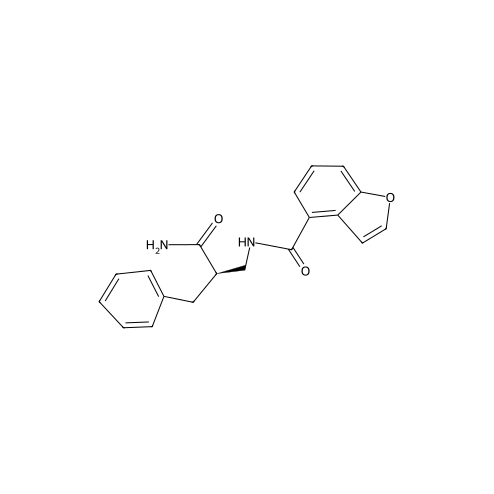 NC(=O)[C@@H](CNC(=O)c1cccc2occc12)Cc1ccccc1